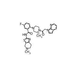 C[C@@H]1CN(c2ccc(F)cc2C(=O)Nc2nc3c(s2)CN(C)CC3)CCN1C(=O)Cn1ccc2cccnc21